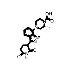 C[C@@H]1CN(c2cccc3c(C4CCC(=O)NC4=O)nn(C)c23)CCN1C(=O)O